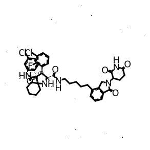 O=C1CCC(N2Cc3c(CCCCCNC(=O)[C@@H]4NC5(CCCCC5)[C@@]5(C(=O)Nc6cc(Cl)ccc65)[C@H]4c4cccc(Cl)c4F)cccc3C2=O)C(=O)N1